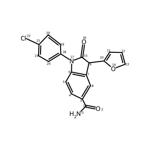 NC(=O)c1ccc2c(c1)C(c1ccco1)C(=O)N2c1ccc(Cl)cc1